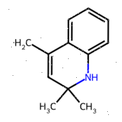 [CH2]C1=CC(C)(C)Nc2ccccc21